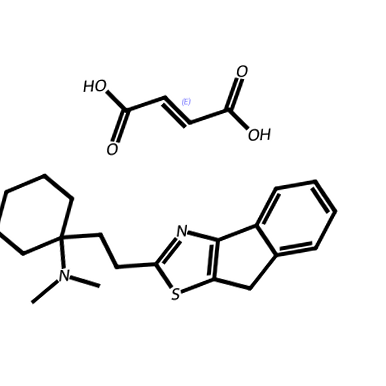 CN(C)C1(CCc2nc3c(s2)Cc2ccccc2-3)CCCCC1.O=C(O)/C=C/C(=O)O